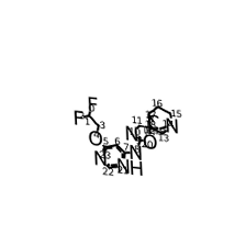 FC(F)COc1cc(NC2=NC[C@@]3(CN4CCC3CC4)O2)ncn1